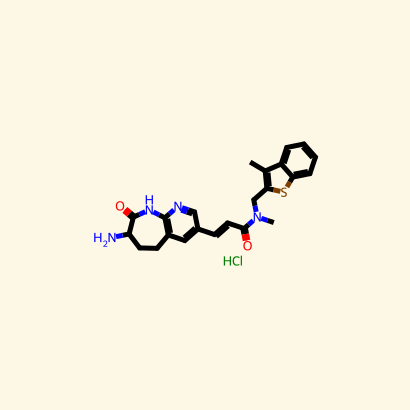 Cc1c(CN(C)C(=O)/C=C/c2cnc3c(c2)CCC(N)C(=O)N3)sc2ccccc12.Cl